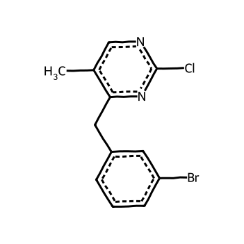 Cc1cnc(Cl)nc1Cc1cccc(Br)c1